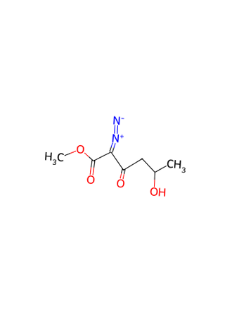 COC(=O)C(=[N+]=[N-])C(=O)CC(C)O